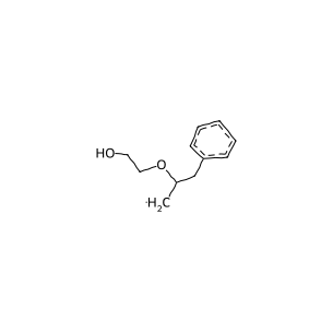 [CH2]C(Cc1ccccc1)OCCO